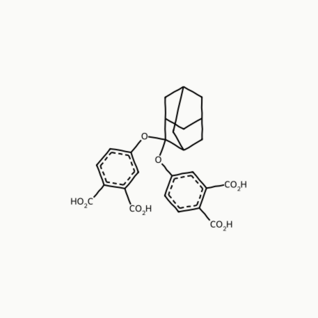 O=C(O)c1ccc(OC2(Oc3ccc(C(=O)O)c(C(=O)O)c3)C3CC4CC(C3)CC2C4)cc1C(=O)O